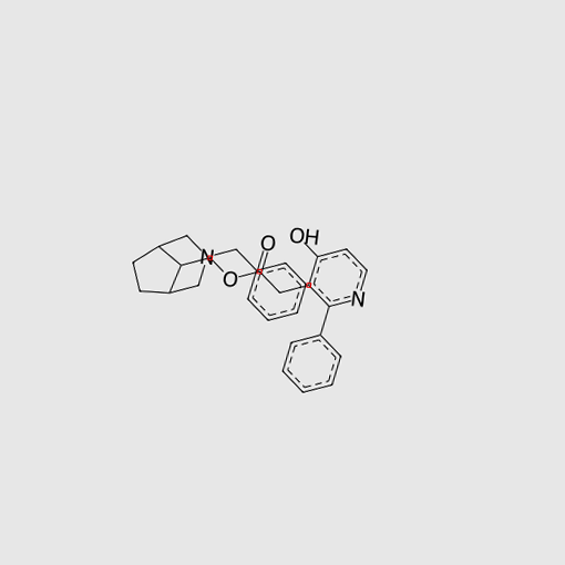 O=C(Cc1c(O)ccnc1-c1ccccc1)OCC1C2CCC1CN(Cc1ccccc1)C2